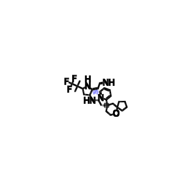 CC(C)(C1CC(NCC[C@@]2(c3ccccn3)CCOC3(CCCC3)C2)/C(=C/C=N)N1)C(F)(F)F